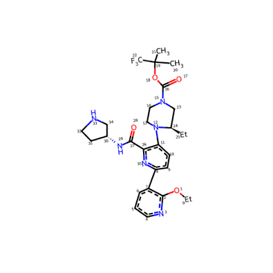 CCOc1ncccc1-c1ccc(N2CCN(C(=O)OC(C)(C)C(F)(F)F)C[C@H]2CC)c(C(=O)N[C@@H]2CCNC2)n1